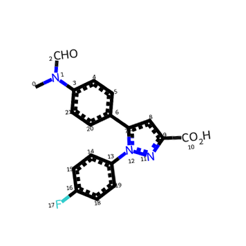 CN(C=O)c1ccc(-c2cc(C(=O)O)nn2-c2ccc(F)cc2)cc1